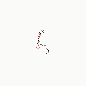 CC/C=C\C[C@H](C)C/C=C1\CC(CCO[Si](C)(C)C(C)(C)C)=CC1=O